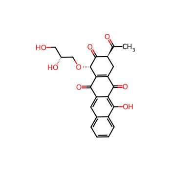 CC(=O)[C@H]1CC2=C(C(=O)c3cc4ccccc4c(O)c3C2=O)[C@H](OC[C@H](O)CO)C1=O